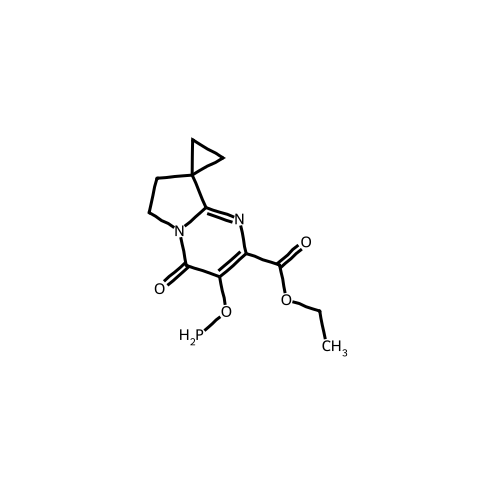 CCOC(=O)c1nc2n(c(=O)c1OP)CCC21CC1